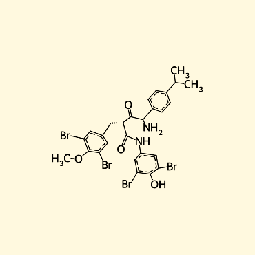 COc1c(Br)cc(C[C@@H](C(=O)Nc2cc(Br)c(O)c(Br)c2)C(=O)C(N)c2ccc(C(C)C)cc2)cc1Br